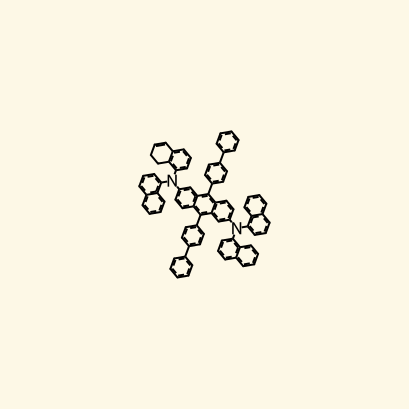 C1=Cc2cccc(N(c3ccc4c(-c5ccc(-c6ccccc6)cc5)c5cc(N(c6cccc7ccccc67)c6cccc7ccccc67)ccc5c(-c5ccc(-c6ccccc6)cc5)c4c3)c3cccc4ccccc34)c2CC1